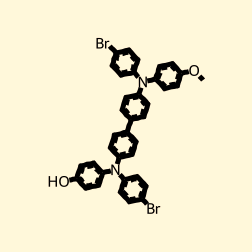 COc1ccc(N(c2ccc(Br)cc2)c2ccc(-c3ccc(N(c4ccc(O)cc4)c4ccc(Br)cc4)cc3)cc2)cc1